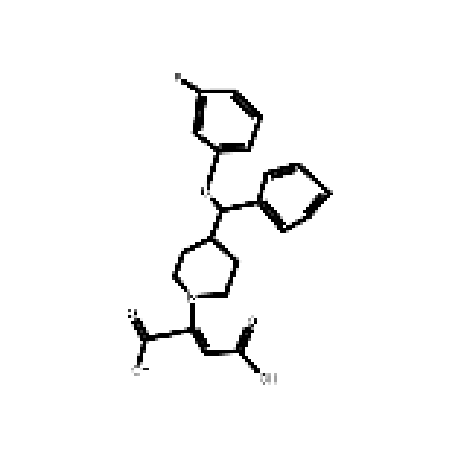 O=C(O)/C=C(/C(=O)O)N1CCC(C(Oc2cccc(F)c2)c2ccccc2)CC1